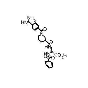 N=C(N)c1ccc(C(=O)N2CCCC(C(=O)NC[C@H](NS(=O)(=O)c3ccccc3)C(=O)O)C2)cc1